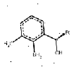 Bc1c(C)cccc1[C@H](O)CC